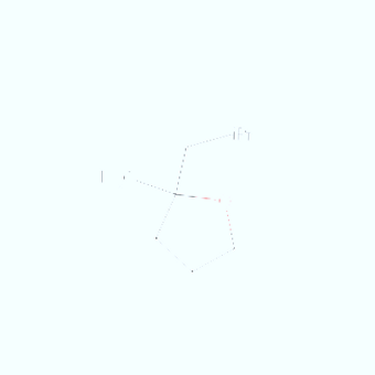 CC(C)CC1(C)CCCO1